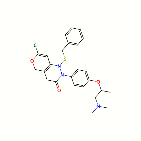 CC(CN(C)C)Oc1ccc(N2C(=O)CC3=C(C=C(Cl)OC3)N2SCc2ccccc2)cc1